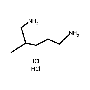 CC(CN)CCCN.Cl.Cl